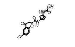 O=C(O)NC12CCC(NC(=O)C3CC(=O)c4cc(Cl)ccc4O3)(C1)C2